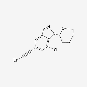 CCC#Cc1cc(Cl)c2c(cnn2C2CCCCO2)c1